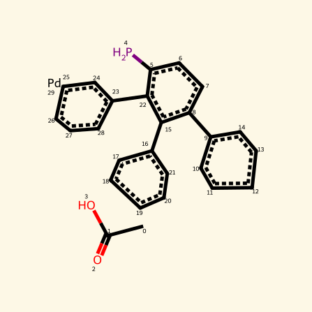 CC(=O)O.Pc1ccc(-c2ccccc2)c(-c2ccccc2)c1-c1ccccc1.[Pd]